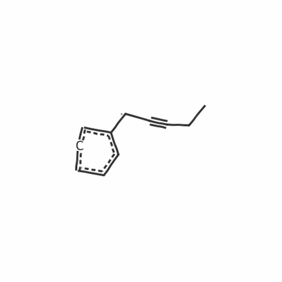 CCC#C[CH]c1ccccc1